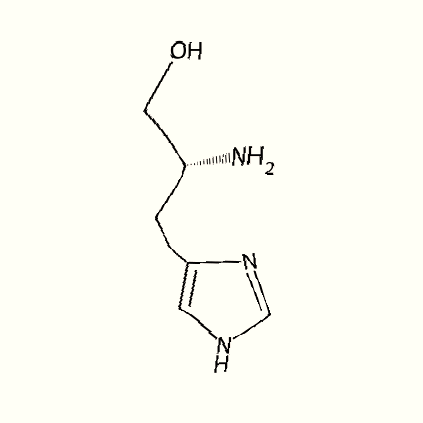 N[C@@H](CO)Cc1c[nH]cn1